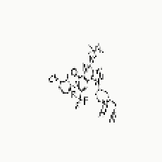 Cc1c(Cl)cccc1-n1c(C(F)(F)F)cc2c(nc(N3CC(C)(N(C)C)C3)c3nnn([C@H]4CCN[C@H](CC#N)C4)c32)c1=O